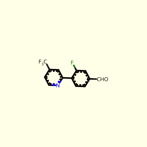 O=Cc1ccc(-c2cc(C(F)(F)F)ccn2)c(F)c1